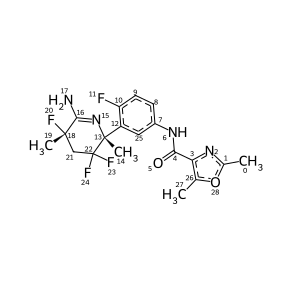 Cc1nc(C(=O)Nc2ccc(F)c([C@@]3(C)N=C(N)[C@@](C)(F)CC3(F)F)c2)c(C)o1